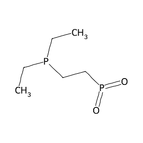 CCP(CC)CCP(=O)=O